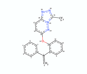 C=C(c1ccccc1)c1ccccc1Oc1ccc2nnc(C(F)(F)F)n2n1